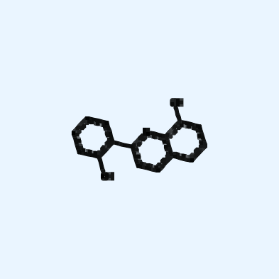 Oc1ccccc1-c1ccc2cccc(O)c2n1